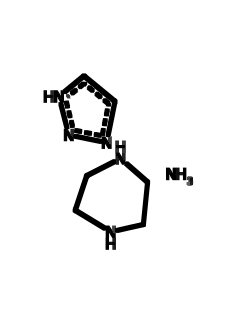 C1CNCCN1.N.c1c[nH]nn1